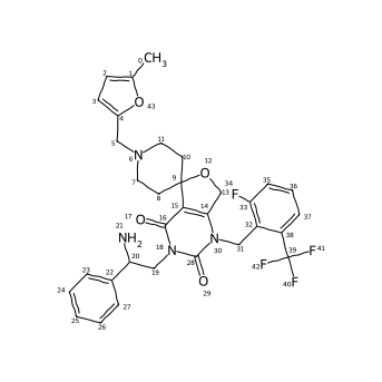 Cc1ccc(CN2CCC3(CC2)OCc2c3c(=O)n(CC(N)c3ccccc3)c(=O)n2Cc2c(F)cccc2C(F)(F)F)o1